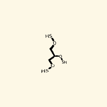 SOCC(COS)OS